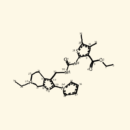 CCOC(=O)c1c(NC(=O)NCc2c(-n3cccc3)sc3c2CCN(CC)C3)sc(C)c1C